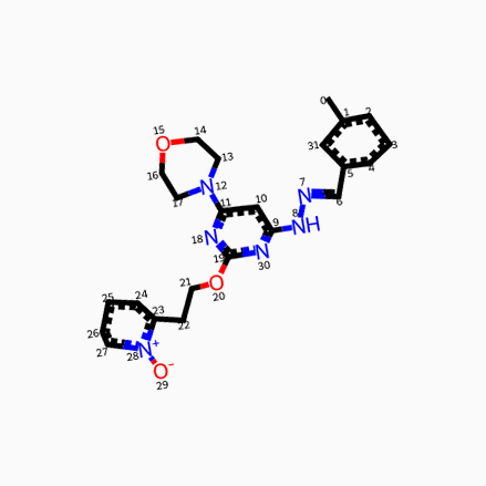 Cc1cccc(C=NNc2cc(N3CCOCC3)nc(OCCc3cccc[n+]3[O-])n2)c1